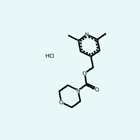 Cc1cc(COC(=O)N2CCOCC2)cc(C)n1.Cl